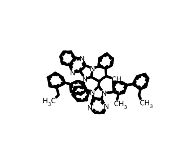 CCc1ccccc1-c1ccc(N2c3nccnc3N(c3ccc(-c4ccccc4CC)cc3C)C2C2C(C)c3ccccc3N3c4nc5ccccc5nc4N(c4ccccc4)C23)cc1